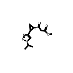 COC(=O)CC(=O)[C@@H]1CC1c1cn(C(C)C)nn1